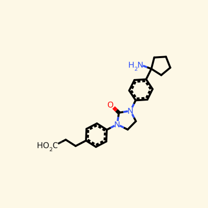 NC1(c2ccc(N3CCN(c4ccc(CCC(=O)O)cc4)C3=O)cc2)CCCC1